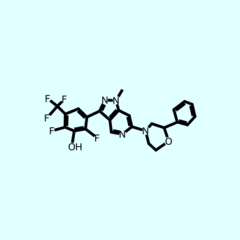 Cn1nc(-c2cc(C(F)(F)F)c(F)c(O)c2F)c2cnc(N3CCOC(c4ccccc4)C3)cc21